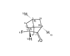 CC1(C)[C@H]2C[C@@H](F)C(=O)[C@@H]1C2